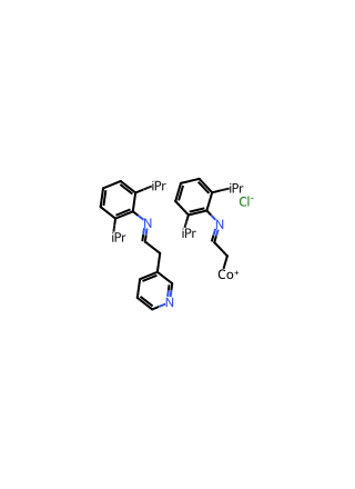 CC(C)c1cccc(C(C)C)c1N=CCc1cccnc1.CC(C)c1cccc(C(C)C)c1N=C[CH2][Co+].[Cl-]